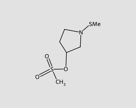 CSN1CCC(OS(C)(=O)=O)C1